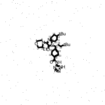 CCC1COCCN1C1=NC2(CCC(C(C)(C)C)CC2)N([C@H](CCC(C)(C)C)C2=CC=C(C(=O)Nc3nnn[nH]3)CC2)C1=O